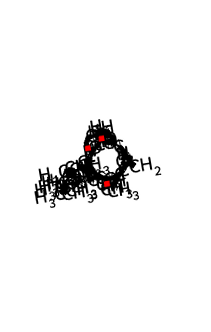 C=C1C[C@@H]2CC[C@@]34C[C@H]5O[C@@H]6[C@@H](OCCC[C@H](CC(=O)CC7C(C[C@H]8O[C@@H](CCC1O2)C[C@@H](C)C8(C)C)O[C@H](C[C@@H](CO[Si](C)(C)C(C)(C)C)O[Si](C)(C)C(C)(C)C)[C@@H]7OC)OC[C@@H]6O3)[C@H]5O4